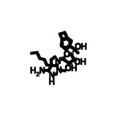 CCCCCC12CCN([C@@H]3O[C@H](C(C)(O)c4ccc5c(c4)CC5)[C@@H](O)[C@H]3O)C1N(C)CNC2N